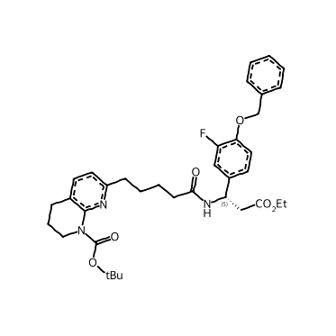 CCOC(=O)C[C@H](NC(=O)CCCCc1ccc2c(n1)N(C(=O)OC(C)(C)C)CCC2)c1ccc(OCc2ccccc2)c(F)c1